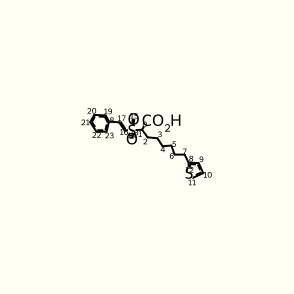 O=C(O)C(CCCCCCc1cccs1)S(=O)(=O)C=Cc1ccccc1